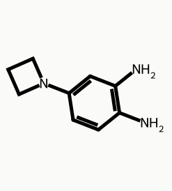 Nc1ccc(N2CCC2)cc1N